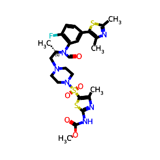 COC(=O)Nc1nc(C)c(S(=O)(=O)N2CCN(C[C@H](C)N(C=O)c3cc(-c4sc(C)nc4C)ccc3F)CC2)s1